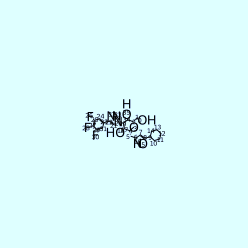 OC[C@H]1O[C@H](Cc2cc(C3CCCCC3)on2)[C@H](O)[C@@H](n2cc(-c3cc(F)c(F)c(F)c3)nn2)[C@H]1O